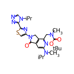 CC(C)N(C)c1cc2c(c(CN(C)C(=O)OC(C)(C)C)n1)CN(c1csc(-c3nncn3C(C)C)n1)C2=O